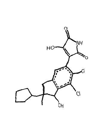 CC1(C2CCCC2)Cc2cc(C3=C(O)C(=O)NC3=O)c(Cl)c(Cl)c2C1O